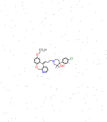 CC1(C)CN(CC/C=C2/c3cc(OCC(=O)O)ccc3OCc3ncccc32)CCC1(O)c1ccc(Cl)cc1